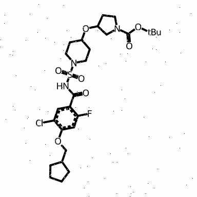 CC(C)(C)OC(=O)N1CCC(OC2CCN(S(=O)(=O)NC(=O)c3cc(Cl)c(OCC4CCCC4)cc3F)CC2)C1